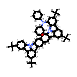 CC(C)(C)c1ccc2c(c1)c1cc(C(C)(C)C)cc3c4cc5cc6c7cc(C(C)(C)C)cc8c9cc(C(C)(C)C)cc(N(c%10ccccc%10)c%10ccccc%10)c9n(c6cc5cc4n2c13)c78